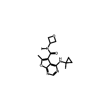 Cc1oc2ncnc(NC3(C)CC3)c2c1C(=O)N(I)C1COC1